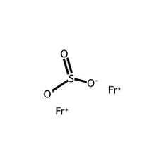 O=S([O-])[O-].[Fr+].[Fr+]